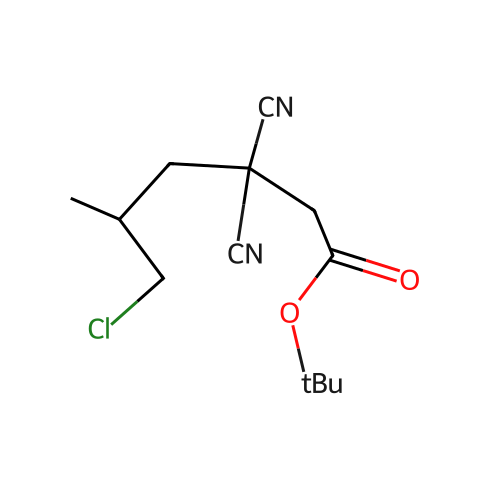 CC(CCl)CC(C#N)(C#N)CC(=O)OC(C)(C)C